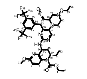 CCOC(=O)N1c2ccc(OC)nc2[C@@H](Nc2ncc(N3CCN(OCC)CC3C=C=O)c(Cc3cc(C(F)(F)F)cc(C(F)(F)F)c3)n2)C[C@H]1CC